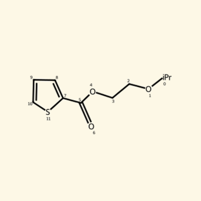 CC(C)OCCOC(=O)c1cccs1